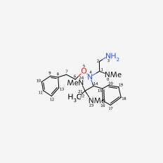 CNC(CN)N(OCCc1ccccc1)C(c1ccccc1)C(C)(NC)NC